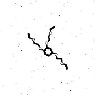 C=COCCOc1ccc(OCCOC=C)c(OCCOC=C)c1